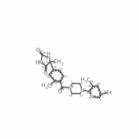 CCc1cnc(N2CCN(C(=O)c3ccc(C4(C)NC(=O)NC4=O)cc3C)CC2)c(C)c1